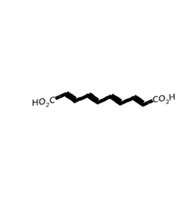 O=C(O)C=CC=CC=CC=CC(=O)O